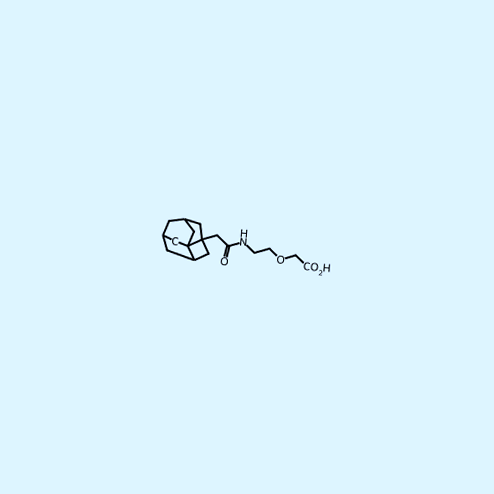 O=C(O)COCCNC(=O)CC12CC3CC4CC(C1)C2(C4)C3